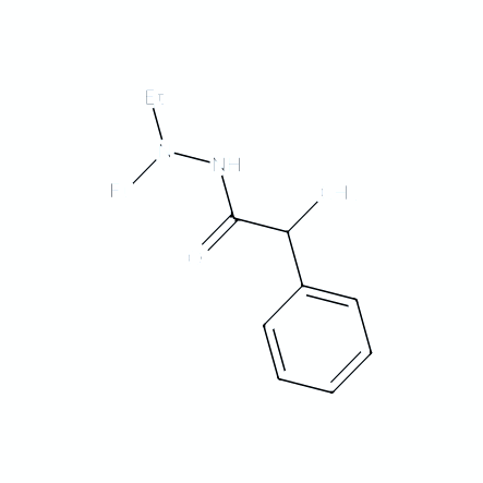 CCN(CC)NC(=O)C(C)c1ccccc1